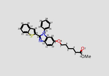 COC(=O)CCCCCOc1ccc2nc(-c3cc4ccccc4s3)n(-c3ccccc3)c2c1